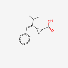 CC(C)C(=Cc1ccccc1)C1CC1C(=O)O